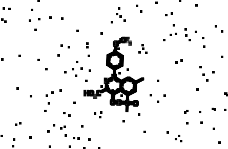 Cc1cc(S(C)(=O)=O)c2c(=O)c(C(=O)O)nn(-c3ccc(OC(F)(F)F)cc3)c2c1